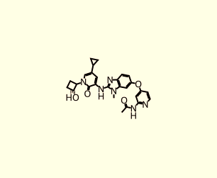 CC(=O)Nc1cc(Oc2ccc3nc(Nc4cc(C5CC5)cn(C5CC[C@H]5O)c4=O)n(C)c3c2)ccn1